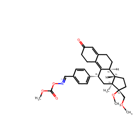 COC[C@]1(OC)CC[C@H]2[C@@H]3CCC4=CC(=O)CCC4=C3[C@@H](c3ccc(/C=N/OC(=O)OC)cc3)C[C@@]21C